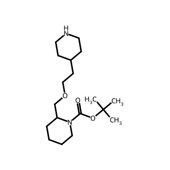 CC(C)(C)OC(=O)N1CCCCC1COCCC1CCNCC1